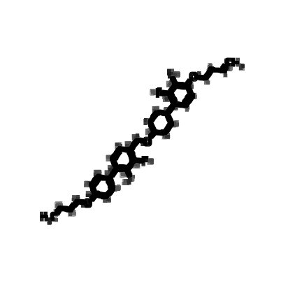 C=CCCOc1ccc(C2CCC(OCc3ccc(-c4ccc(OCCCC)cc4)c(F)c3F)CC2)c(F)c1F